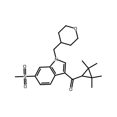 CC1(C)C(C(=O)c2cn(CC3CCOCC3)c3cc(S(C)(=O)=O)ccc23)C1(C)C